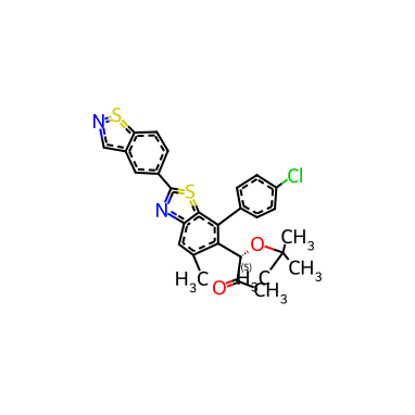 CC(=O)[C@@H](OC(C)(C)C)c1c(C)cc2nc(-c3ccc4sncc4c3)sc2c1-c1ccc(Cl)cc1